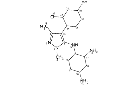 Cc1nn(C)c(NC2CCC(N)CC2N)c1C1CCC(F)CC1Cl